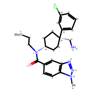 COCCN(C(=O)c1ccc2c(c1)nnn2C(C)C)[C@H]1CC[C@](CN)(c2cccc(Cl)c2)CC1